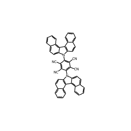 N#Cc1c(C#N)c(-n2c3ccc4ccccc4c3c3c4ccccc4ccc32)c(C#N)c(C#N)c1-n1c2ccc3ccccc3c2c2c3ccccc3ccc21